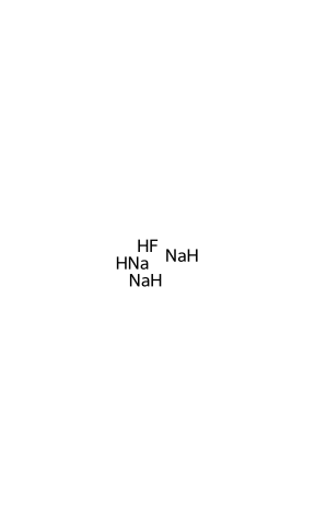 F.[NaH].[NaH].[NaH]